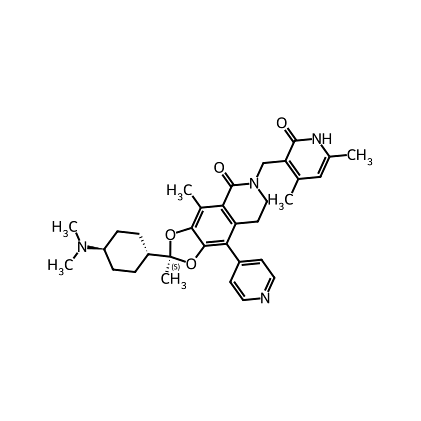 Cc1cc(C)c(CN2CCc3c(c(C)c4c(c3-c3ccncc3)O[C@@](C)([C@H]3CC[C@H](N(C)C)CC3)O4)C2=O)c(=O)[nH]1